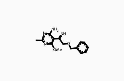 COc1nc(C)nc(N)c1C(=N)COCc1ccccc1